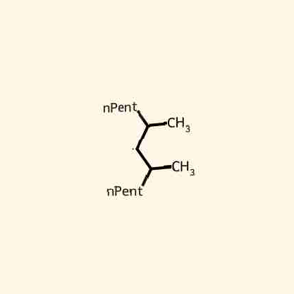 CCCCCC(C)[CH]C(C)CCCCC